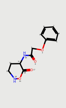 O=C(COc1ccccc1)NC1CCNOC1=O